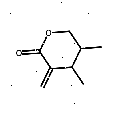 C=C1C(=O)OCC(C)C1C